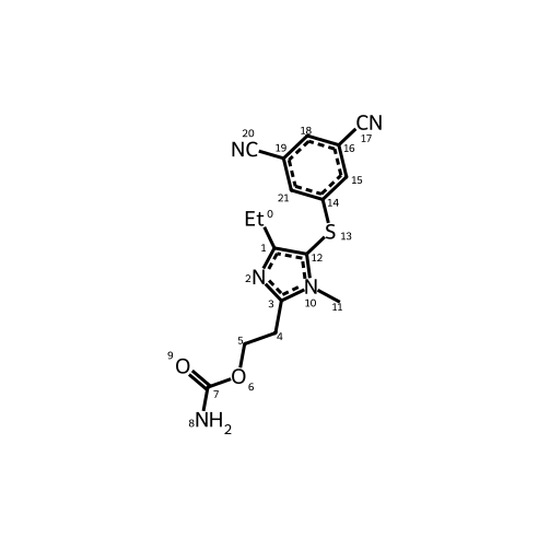 CCc1nc(CCOC(N)=O)n(C)c1Sc1cc(C#N)cc(C#N)c1